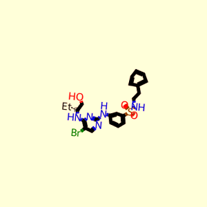 CC[C@H](CO)Nc1nc(Nc2cccc(S(=O)(=O)NCCc3ccccc3)c2)ncc1Br